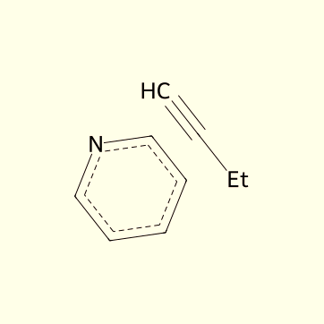 C#CCC.c1ccncc1